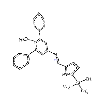 C[Si](C)(C)c1ccc(/C=N/c2cc(-c3ccccc3)c(O)c(-c3ccccc3)c2)[nH]1